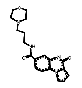 O=C(NCCCN1CCOCC1)c1ccc2c(c1)[nH]c(=O)c1cccn12